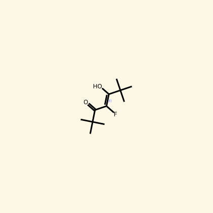 CC(C)(C)C(=O)/C(F)=C(\O)C(C)(C)C